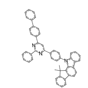 CC1(C)c2ccccc2-c2ccc3c4ccccc4n(-c4ccc(-c5cc(-c6ccc(-c7ccccc7)cc6)nc(-c6ccccc6)n5)cc4)c3c21